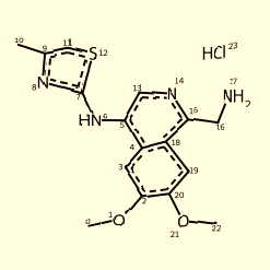 COc1cc2c(Nc3nc(C)cs3)cnc(CN)c2cc1OC.Cl